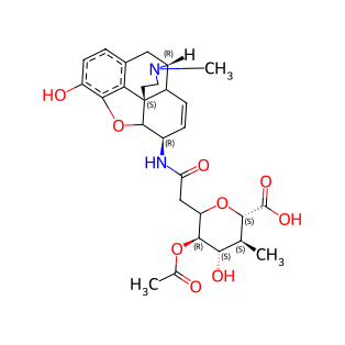 CC(=O)O[C@H]1C(CC(=O)N[C@@H]2C=CC3[C@H]4Cc5ccc(O)c6c5[C@@]3(CCN4C)C2O6)O[C@H](C(=O)O)[C@@H](C)[C@@H]1O